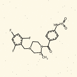 C[C@H]1CN(Cc2c(F)cc(F)cc2F)CCN1C(=O)c1ccc(N[SH](=O)=O)cc1